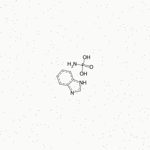 NP(=O)(O)O.c1ccc2[nH]cnc2c1